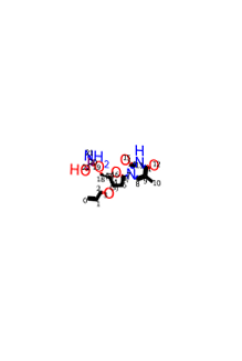 C=CCO[C@H]1C[C@H](n2cc(C)c(=O)[nH]c2=O)O[C@@H]1COP(N)O